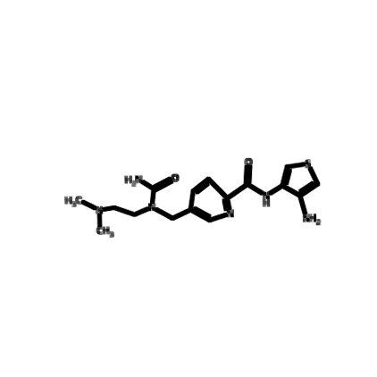 CN(C)CCN(Cc1ccc(C(=O)Nc2cscc2N)nc1)C(N)=O